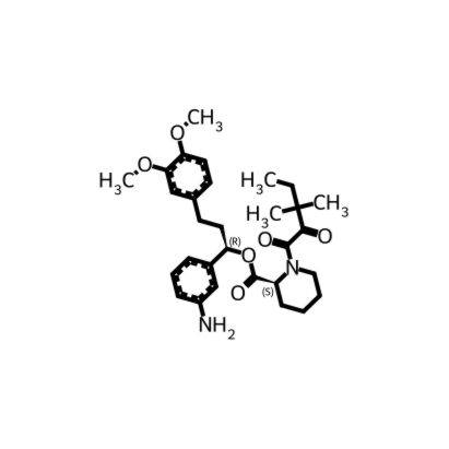 CCC(C)(C)C(=O)C(=O)N1CCCC[C@H]1C(=O)O[C@H](CCc1ccc(OC)c(OC)c1)c1cccc(N)c1